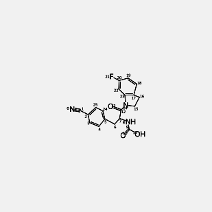 N#Cc1ccc(CC(NC(=O)O)C(=O)N2CCc3ccc(F)cc32)cc1